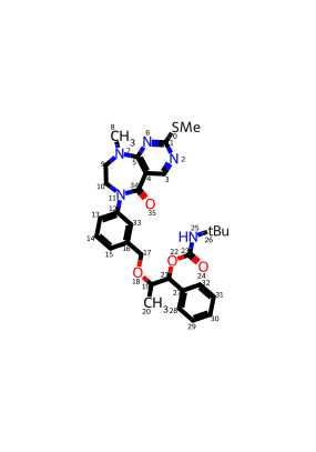 CSc1ncc2c(n1)N(C)CCN(c1cccc(COC(C)C(OC(=O)NC(C)(C)C)c3ccccc3)c1)C2=O